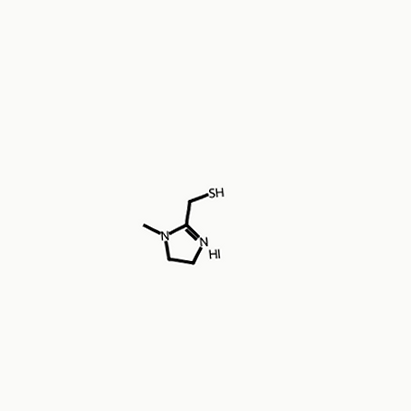 CN1CCN=C1CS.I